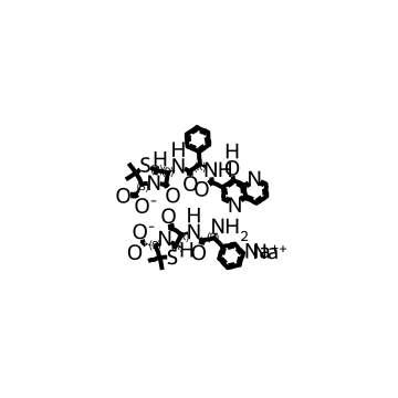 CC1(C)S[C@@H]2[C@H](NC(=O)[C@H](N)c3ccccc3)C(=O)N2[C@H]1C(=O)[O-].CC1(C)S[C@@H]2[C@H](NC(=O)[C@H](NC(=O)c3cnc4cccnc4c3O)c3ccccc3)C(=O)N2[C@H]1C(=O)[O-].[Na+].[Na+]